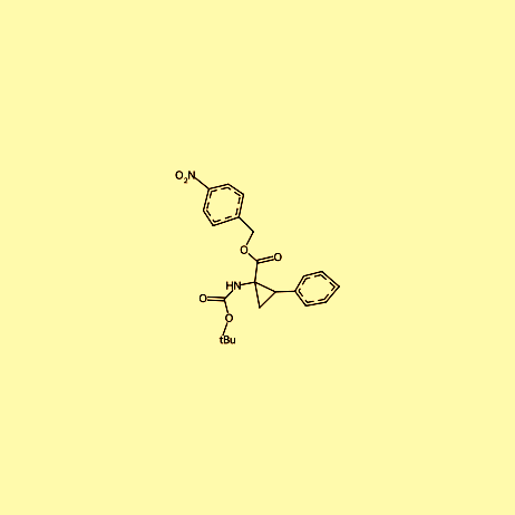 CC(C)(C)OC(=O)NC1(C(=O)OCc2ccc([N+](=O)[O-])cc2)CC1c1ccccc1